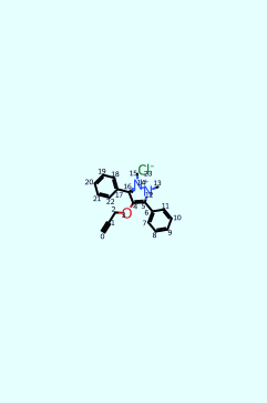 C#CCOc1c(-c2ccccc2)n(C)[n+](C)c1-c1ccccc1.[Cl-]